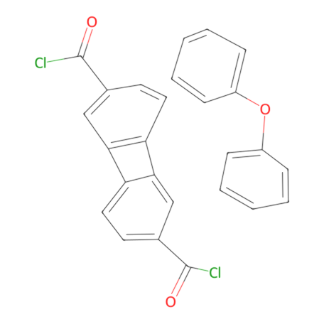 O=C(Cl)c1ccc2c(c1)-c1ccc(C(=O)Cl)cc1-2.c1ccc(Oc2ccccc2)cc1